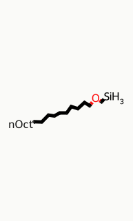 CCCCCCCCCCCCCCCCCCOC[SiH3]